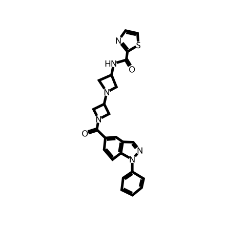 O=C(NC1CN(C2CN(C(=O)c3ccc4c(cnn4-c4ccccc4)c3)C2)C1)c1nccs1